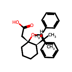 CC(C)(C)[C@H]1CCCC[C@]1(CC(=O)O)O[SiH](c1ccccc1)c1ccccc1